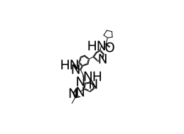 Cc1cn(-c2ccnc3[nH]c(-c4n[nH]c5ccc(-c6cncc(NC(=O)C7CCCC7)c6)cc45)nc23)cn1